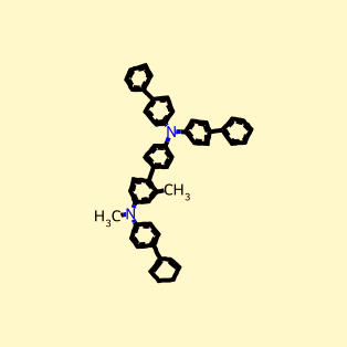 Cc1cc(N(C)c2ccc(C3=CCCC=C3)cc2)ccc1-c1ccc(N(c2ccc(-c3ccccc3)cc2)c2ccc(-c3ccccc3)cc2)cc1